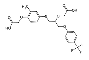 Cc1cc(SCC(COc2ccc(C(F)(F)F)cc2)OCC(=O)O)ccc1OCC(=O)O